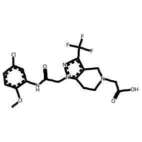 COc1ccc(Cl)cc1NC(=O)Cn1nc(C(F)(F)F)c2c1CCN(CC(=O)O)C2